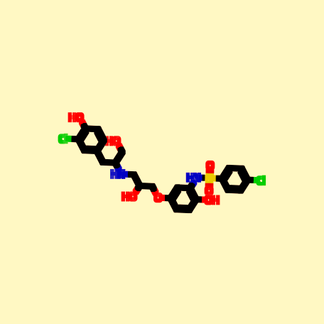 O=S(=O)(Nc1cc(OCC(O)CNC(CO)Cc2ccc(O)c(Cl)c2)ccc1O)c1ccc(Cl)cc1